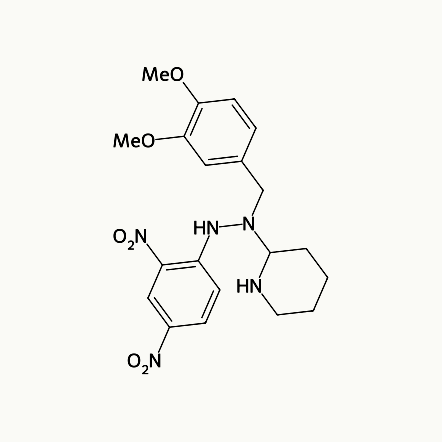 COc1ccc(CN(Nc2ccc([N+](=O)[O-])cc2[N+](=O)[O-])C2CCCCN2)cc1OC